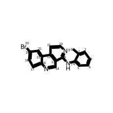 Cc1ccccc1Nc1nccc2c1cnc1ccc(Br)cc12